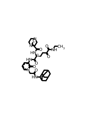 CCNC(=O)C(=O)CC[C@H](NC(=O)C1CN2CCN1CC2)C(=O)Nc1cccn(CC(=O)NC2C3CC4CC(C3)CC2C4)c1=O